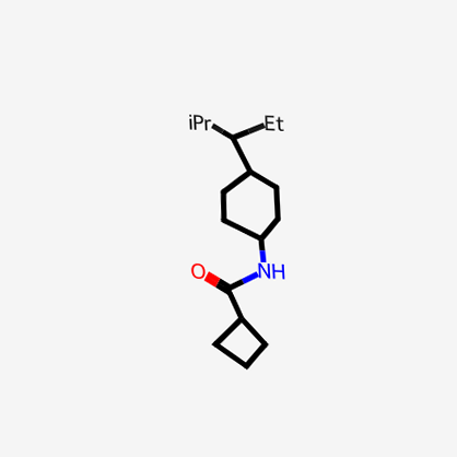 CCC(C(C)C)C1CCC(NC(=O)C2CCC2)CC1